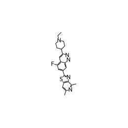 CCN1CCC(c2cc3c(F)cc(-c4nc5c(C)nc(C)cc5s4)cc3nn2)CC1